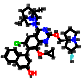 Oc1cc(-c2c(Cl)cc3c(N4C[C@H]5CC[C@@H](C4)N5)nc(OC[C@@]45CCCN4C[C@H](F)C5)nc3c2OC2CC2)c2ccccc2c1